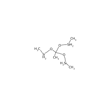 C[SiH2]OC(C)(O[SiH2]C)O[SiH2]C